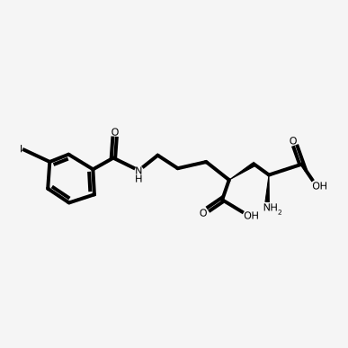 N[C@@H](C[C@H](CCCNC(=O)c1cccc(I)c1)C(=O)O)C(=O)O